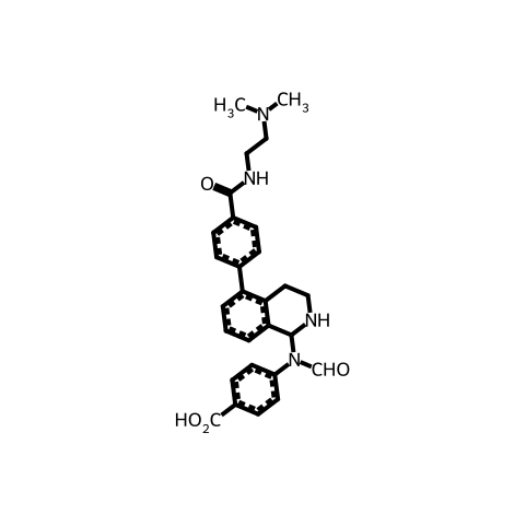 CN(C)CCNC(=O)c1ccc(-c2cccc3c2CCNC3N(C=O)c2ccc(C(=O)O)cc2)cc1